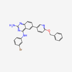 Nc1nc(Nc2cccc(Br)c2)c2cc(-c3ccc(OCc4ccccc4)nc3)ccc2n1